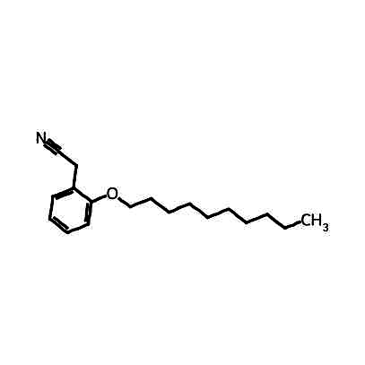 CCCCCCCCCCOc1ccccc1CC#N